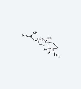 CN1CCC2[C@H]1CC(CCCB(O)O)C2(N)C(=O)O